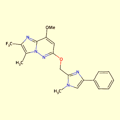 COc1cc(OCc2nc(-c3ccccc3)cn2C)nn2c(C)c(C(F)(F)F)nc12